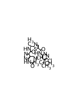 CC(NC(=O)c1ncnc2c1CN(C)CC(=O)N2)c1ncc(C(=O)Nc2cc(C(C)(C)C)c(Cl)nn2)s1